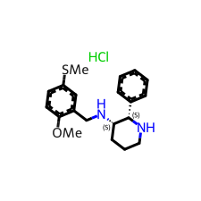 COc1ccc(SC)cc1CN[C@H]1CCCN[C@H]1c1ccccc1.Cl